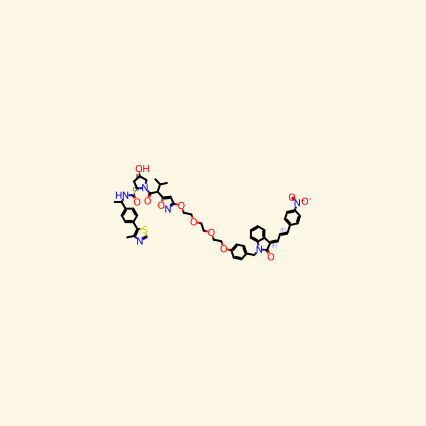 Cc1ncsc1-c1ccc(C(C)NC(=O)[C@@H]2C[C@@H](O)CN2C(=O)C(c2cc(OCCOCCOCCOc3ccc(CN4C(=O)/C(=C/C=C/c5ccc([N+](=O)[O-])cc5)c5ccccc54)cc3)no2)C(C)C)cc1